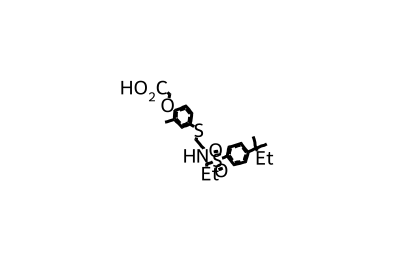 CCC(NCCSc1ccc(OCC(=O)O)c(C)c1)S(=O)(=O)c1ccc(C(C)(C)CC)cc1